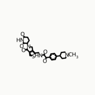 CN1CCC(c2ccc(C(=O)C(=O)NCc3scc4c3CN(C3CCC(=O)NC3=O)C4=O)cc2)CC1